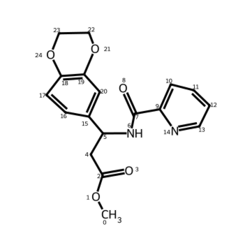 COC(=O)CC(NC(=O)c1ccccn1)c1ccc2c(c1)OCCO2